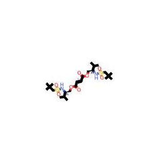 CC(C)[C@H](COC(=O)/C=C/C(=O)OC[C@H](NS(=O)(=O)CC(C)(C)C)C(C)C)NS(=O)(=O)CC(C)(C)C